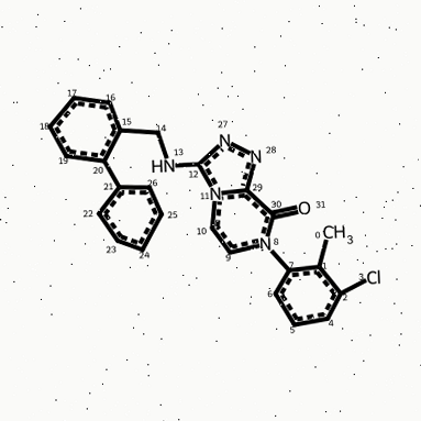 Cc1c(Cl)cccc1-n1ccn2c(NCc3ccccc3-c3ccccc3)nnc2c1=O